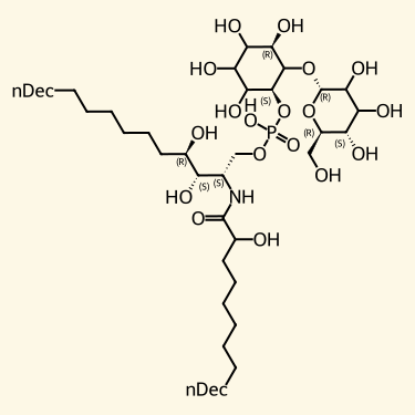 CCCCCCCCCCCCCCCCC(O)C(=O)N[C@@H](COP(=O)(O)O[C@H]1C(O)C(O)C(O)[C@@H](O)C1O[C@H]1O[C@H](CO)[C@@H](O)C(O)C1O)[C@H](O)[C@H](O)CCCCCCCCCCCCCCCC